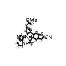 COC(=O)Cn1cc(Nc2cnn3cccnc23)c(-c2cc3sc(C#N)cc3cc2OC(F)F)n1